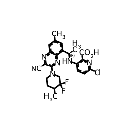 Cc1cc([C@@H](C)Nc2ccc(Cl)nc2C(=O)O)c2nc(N3CCC(C)C(F)(F)C3)c(C#N)nc2c1